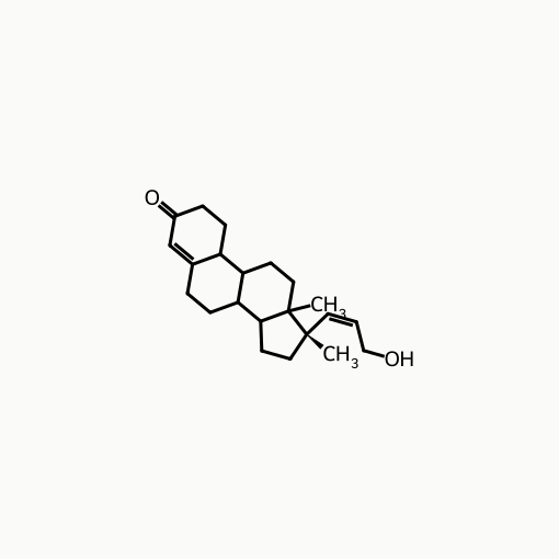 CC12CCC3C4CCC(=O)C=C4CCC3C1CC[C@@]2(C)/C=C\CO